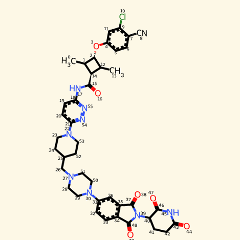 CC1[C@H](Oc2ccc(C#N)c(Cl)c2)C(C)[C@H]1C(=O)Nc1ccc(N2CCC(CN3CCN(c4ccc5c(c4)C(=O)N(C4CCC(=O)NC4=O)C5=O)CC3)CC2)nn1